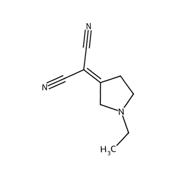 CCN1CCC(=C(C#N)C#N)C1